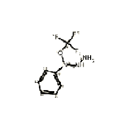 NNN(OC(F)(F)F)c1ccccc1